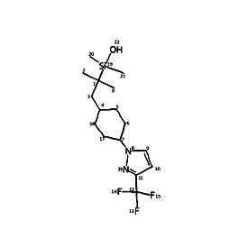 CC(C)(CC1CCC(n2ccc(C(F)(F)F)n2)CC1)[Si](C)(C)O